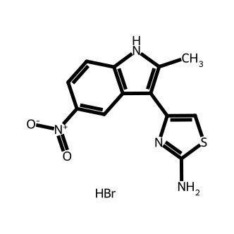 Br.Cc1[nH]c2ccc([N+](=O)[O-])cc2c1-c1csc(N)n1